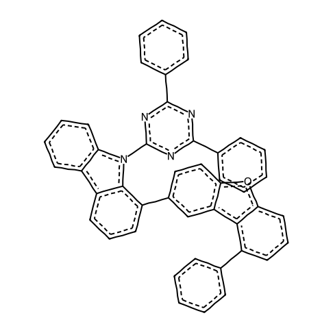 c1ccc(-c2nc(-c3ccccc3)nc(-n3c4ccccc4c4cccc(-c5ccc6oc7cccc(-c8ccccc8)c7c6c5)c43)n2)cc1